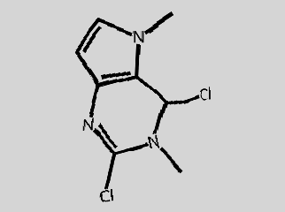 CN1C(Cl)=Nc2ccn(C)c2C1Cl